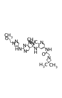 COCCn1cc(Nc2ncc3c(Nc4cc(NC(=O)CN5CC(C)(C)C5)cnc4C)nn(C)c3n2)cn1